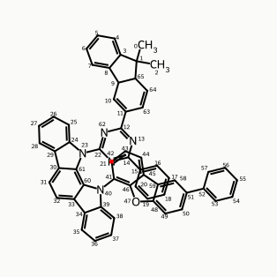 CC1(C)c2ccccc2C2C=C(c3nc(-c4ccccc4)nc(-n4c5ccccc5c5ccc6c7ccccc7n(-c7cccc8c7oc7ccc(-c9ccccc9)cc78)c6c54)n3)C=CC21